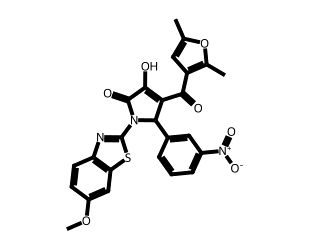 COc1ccc2nc(N3C(=O)C(O)=C(C(=O)c4cc(C)oc4C)C3c3cccc([N+](=O)[O-])c3)sc2c1